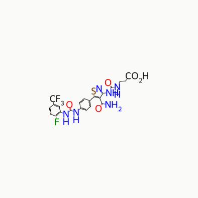 NC(=O)c1c(NC(=O)NCCC(=O)O)nsc1-c1ccc(NC(=O)Nc2cc(C(F)(F)F)ccc2F)cc1